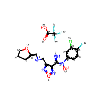 N=C(c1nonc1CNCC1CCCO1)N(O)c1ccc(F)c(Cl)c1.O=C(O)C(F)(F)F